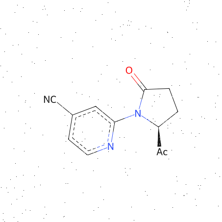 CC(=O)[C@@H]1CCC(=O)N1c1cc(C#N)ccn1